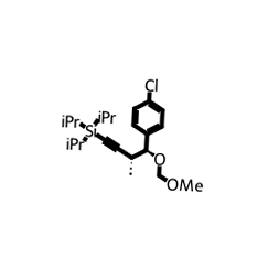 COCO[C@H](c1ccc(Cl)cc1)[C@H](C)C#C[Si](C(C)C)(C(C)C)C(C)C